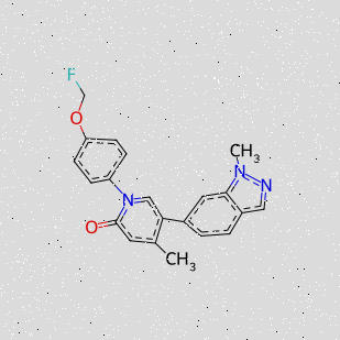 Cc1cc(=O)n(-c2ccc(OCF)cc2)cc1-c1ccc2cnn(C)c2c1